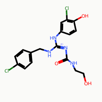 O=C(/N=C(\NCc1ccc(Cl)cc1)Nc1ccc(O)c(Cl)c1)NCCO